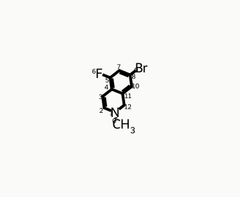 CN1C=Cc2c(F)cc(Br)cc2C1